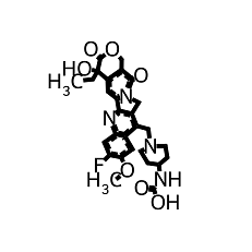 CCC1(O)C(=O)OCc2c1cc1n(c2=O)Cc2c-1nc1cc(F)c(OC)cc1c2CN1CCC(NC(=O)O)CC1